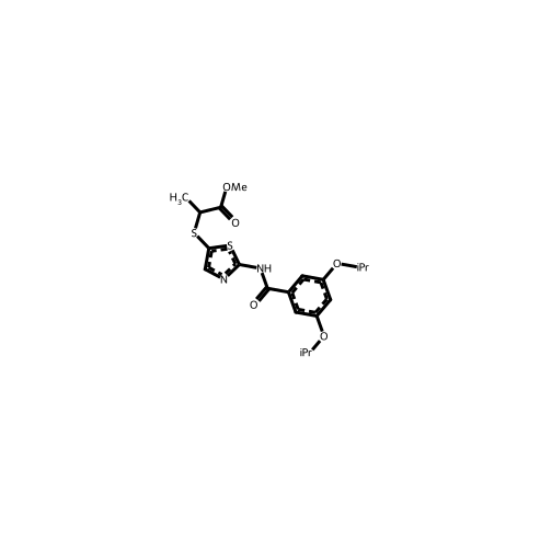 COC(=O)C(C)Sc1cnc(NC(=O)c2cc(OC(C)C)cc(OC(C)C)c2)s1